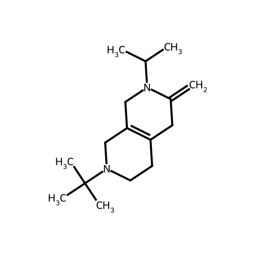 C=C1CC2=C(CN1C(C)C)CN(C(C)(C)C)CC2